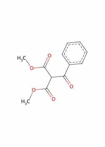 COC(=O)C(C(=O)OC)C(=O)c1ccccc1